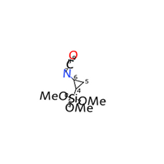 CO[Si](OC)(OC)C1CC1N=C=O